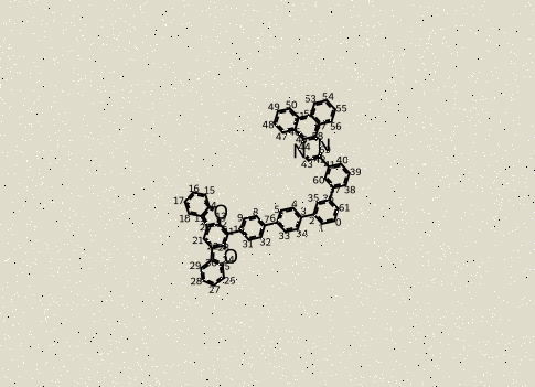 c1cc(-c2ccc(-c3ccc(-c4c5oc6ccccc6c5cc5c4oc4ccccc45)cc3)cc2)cc(-c2cccc(-c3cnc4c5ccccc5c5ccccc5c4n3)c2)c1